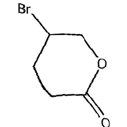 O=C1CCC(Br)CO1